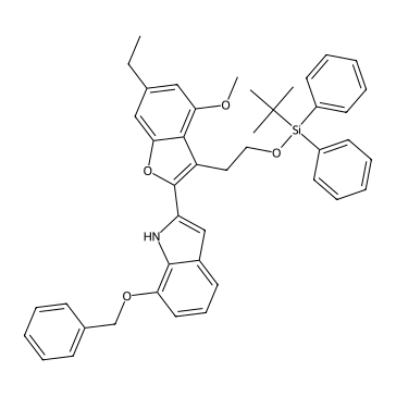 CCc1cc(OC)c2c(CCO[Si](c3ccccc3)(c3ccccc3)C(C)(C)C)c(-c3cc4cccc(OCc5ccccc5)c4[nH]3)oc2c1